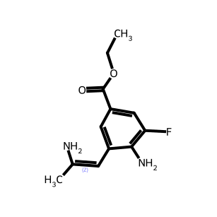 CCOC(=O)c1cc(F)c(N)c(/C=C(/C)N)c1